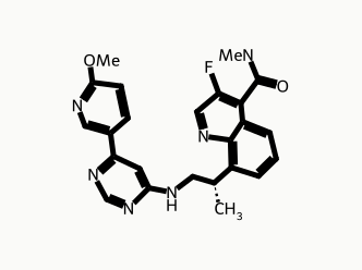 CNC(=O)c1c(F)cnc2c([C@H](C)CNc3cc(-c4ccc(OC)nc4)ncn3)cccc12